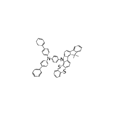 CC1(C)c2ccccc2-c2ccc3c(c21)c1ccc2c(c1n3-c1ccc(N(c3ccc(C4=CC=CCC4)cc3)c3ccc(-c4ccccc4)cc3)cc1)Sc1ccccc1S2